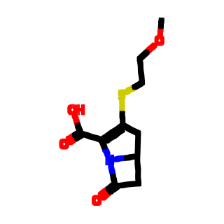 COCCSC1=C(C(=O)O)N2C(=O)CC2C1